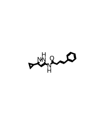 O=C(CC=Cc1ccccc1)Nc1cc(C2CC2)n[nH]1